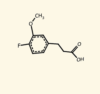 COc1cc(CCC(=O)O)ccc1F